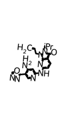 C=CCn1c2nc(Nc3cc(N)c(-c4nnco4)cn3)ccc2c(=O)n1C(C)C